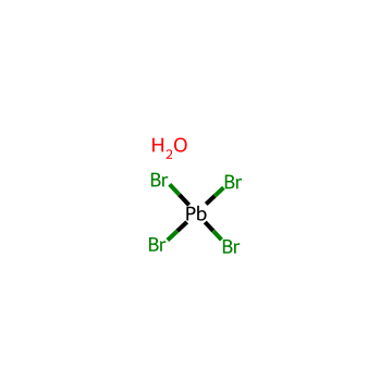 O.[Br][Pb]([Br])([Br])[Br]